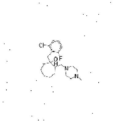 CN1CCN(CC2CCCCCC2(O)Cc2c(F)cccc2Cl)CC1